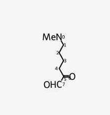 CNCCCCC(=O)C=O